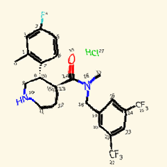 Cc1cc(F)ccc1[C@H]1CNCC[C@@H]1C(=O)N(C)Cc1cc(C(F)(F)F)cc(C(F)(F)F)c1.Cl